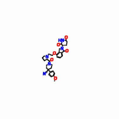 COc1ccc(C2(C#N)CCN(C(=O)C3CCCN3CCOc3cccc4c3CN(C3CCC(=O)NC3=O)C4=O)CC2)cc1